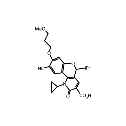 COCCCOc1cc2c(cc1C#N)-c1c(cc(C(=O)O)c(=O)n1C1CC1)C(C(C)C)O2